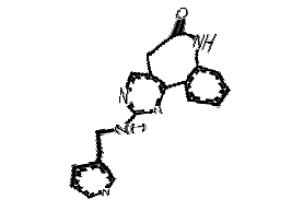 O=C1Cc2cnc(NCc3cccnc3)nc2-c2ccccc2N1